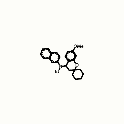 CCN(c1ccc2ccccc2c1)C1CC2(CCCCC2)Oc2cc(OC)ccc21